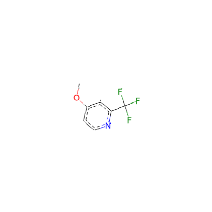 COc1[c]c(C(F)(F)F)ncc1